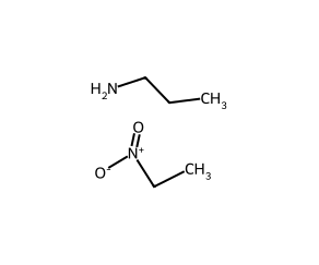 CCCN.CC[N+](=O)[O-]